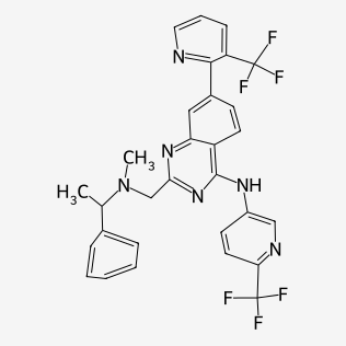 CC(c1ccccc1)N(C)Cc1nc(Nc2ccc(C(F)(F)F)nc2)c2ccc(-c3ncccc3C(F)(F)F)cc2n1